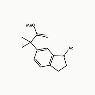 COC(=O)C1(c2ccc3c(c2)N(C(C)=O)CC3)CC1